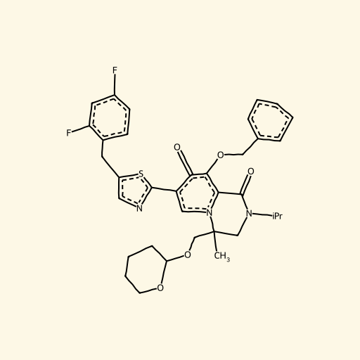 CC(C)N1CC(C)(COC2CCCCO2)n2cc(-c3ncc(Cc4ccc(F)cc4F)s3)c(=O)c(OCc3ccccc3)c2C1=O